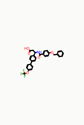 O=C(O)CC(NC(=O)c1ccc(OCc2ccccc2)cc1)c1ccc(-c2ccc(OC(F)(F)F)cc2)cc1